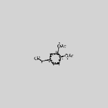 CC(=O)Oc1ccc(CCl)cc1OC(C)=O